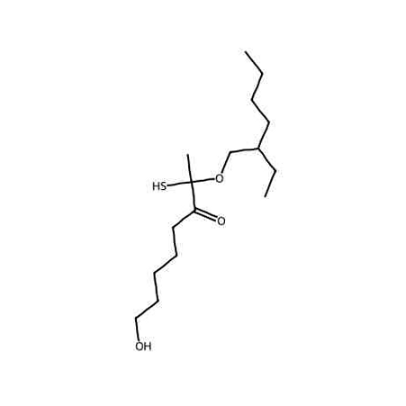 CCCCC(CC)COC(C)(S)C(=O)CCCCCO